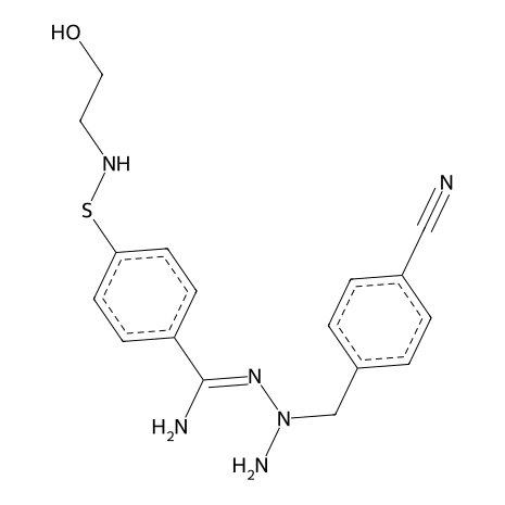 N#Cc1ccc(CN(N)/N=C(\N)c2ccc(SNCCO)cc2)cc1